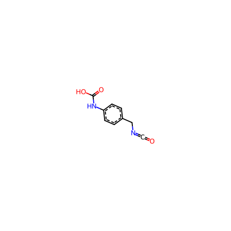 O=C=NCc1ccc(NC(=O)O)cc1